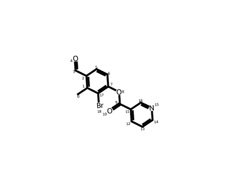 Cc1c(C=O)ccc(OC(=O)c2cccnc2)c1Br